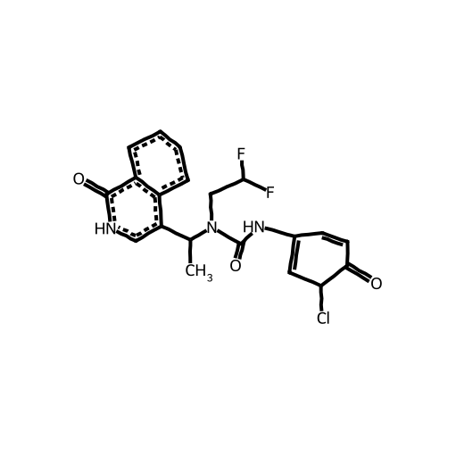 CC(c1c[nH]c(=O)c2ccccc12)N(CC(F)F)C(=O)NC1=CC(Cl)C(=O)C=C1